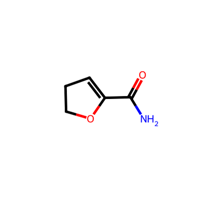 NC(=O)C1=CCCO1